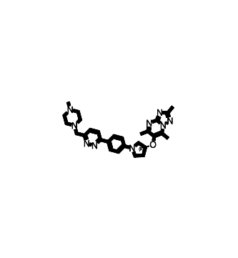 Cc1nc2nc(C)c(O[C@@H]3CCN(c4ccc(-c5ccc(CN6CCN(C)CC6)nn5)cc4)C3)c(C)n2n1